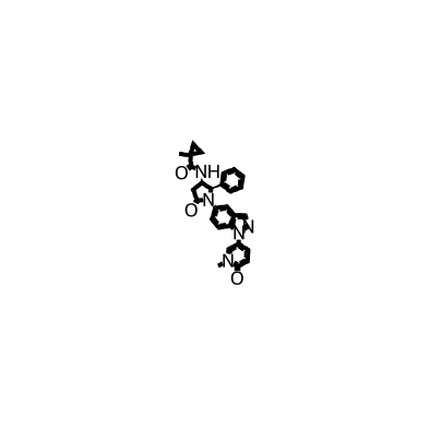 Cn1cc(-n2ncc3cc(N4C(=O)C[C@H](NC(=O)C5(C)CC5)[C@H]4c4ccccc4)ccc32)ccc1=O